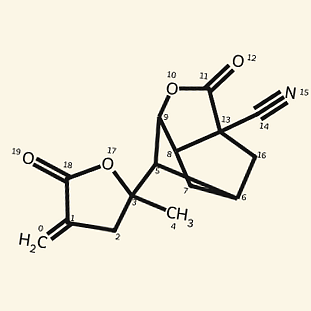 C=C1CC(C)(C2C3CC4C2OC(=O)C4(C#N)C3)OC1=O